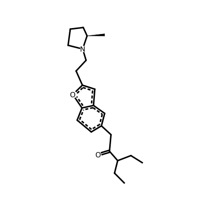 CCC(CC)C(=O)Cc1ccc2oc(CCN3CCC[C@H]3C)cc2c1